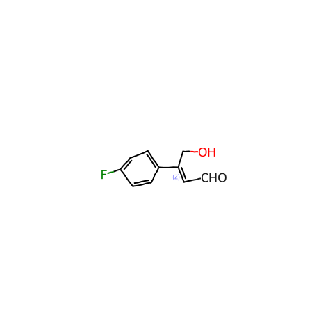 O=C/C=C(\CO)c1ccc(F)cc1